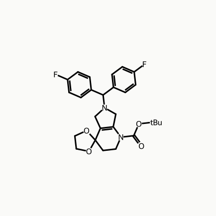 CC(C)(C)OC(=O)N1CCC2(OCCO2)C2=C1CN(C(c1ccc(F)cc1)c1ccc(F)cc1)C2